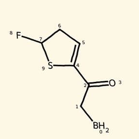 BCC(=O)C1=CCC(F)S1